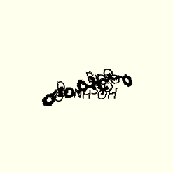 O=C(COc1c(C(=O)O)sc(-c2cccc(NC3CCN(S(=O)(=O)Cc4ccccc4)CC3)c2)c1Br)OCc1ccccc1